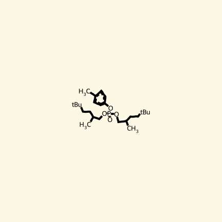 Cc1ccc(OP(=O)(OCC(C)CCC(C)(C)C)OCC(C)CCC(C)(C)C)cc1